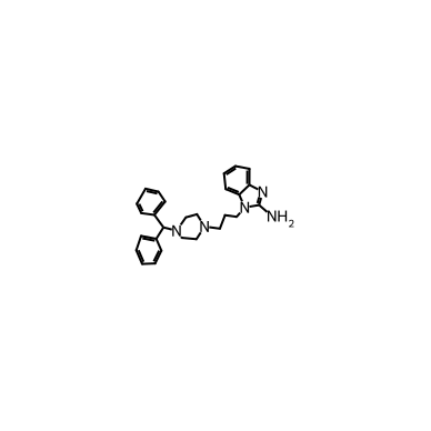 Nc1nc2ccccc2n1CCCN1CCN(C(c2ccccc2)c2ccccc2)CC1